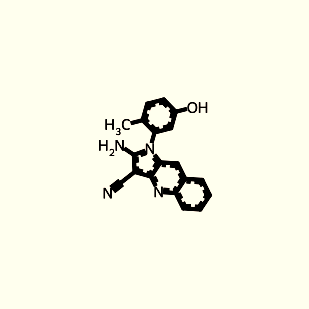 Cc1ccc(O)cc1-n1c(N)c(C#N)c2nc3ccccc3cc21